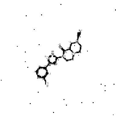 N#CN1CCN2CCN(c3cc(-c4cccc(Cl)c4)on3)C(=O)C2C1